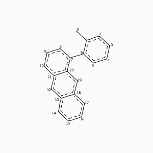 Cc1ccccc1-c1cccc2cc3ccccc3cc12